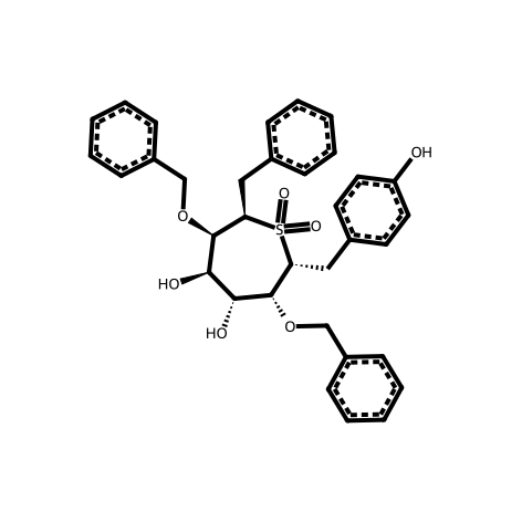 O=S1(=O)[C@H](Cc2ccccc2)[C@H](OCc2ccccc2)[C@H](O)[C@@H](O)[C@@H](OCc2ccccc2)[C@H]1Cc1ccc(O)cc1